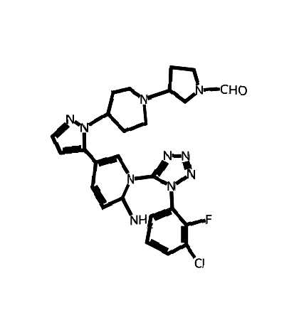 NC1C=CC(c2ccnn2C2CCN(C3CCN(C=O)C3)CC2)=CN1c1nnnn1-c1cccc(Cl)c1F